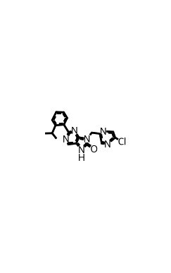 CC(C)c1ccccc1-c1ncc2[nH]c(=O)n(Cc3cnc(Cl)cn3)c2n1